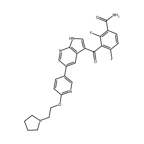 NC(=O)c1ccc(F)c(C(=O)c2c[nH]c3ncc(-c4ccc(OCCN5CCCC5)nc4)cc23)c1F